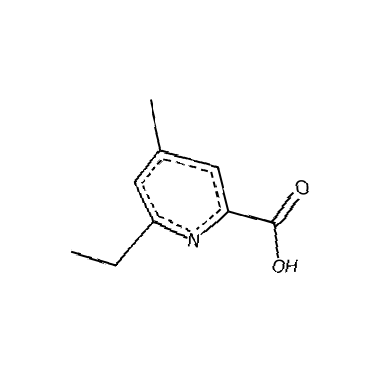 CCc1cc(C)cc(C(=O)O)n1